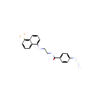 [N-]=[N+]=Nc1ccc(C(=O)NCCNc2cccc3c(S(=O)(=O)O)cccc23)cc1